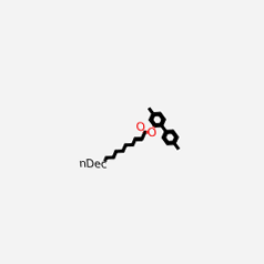 CCCCCCCCCCCCCCCCC=CC(=O)Oc1cc(C)ccc1-c1ccc(C)cc1